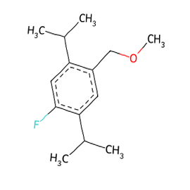 COCc1cc(C(C)C)c(F)cc1C(C)C